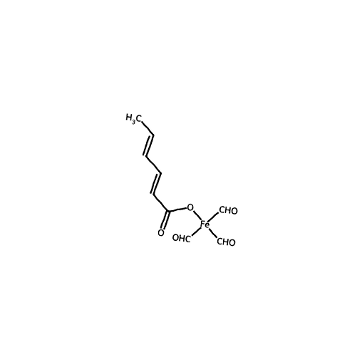 C/C=C/C=C/C(=O)[O][Fe]([CH]=O)([CH]=O)[CH]=O